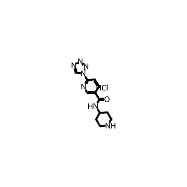 Cl.O=C(NC1CCNCC1)c1ccc(-n2cnnn2)nc1